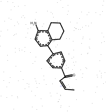 C/C=C\C(=O)c1ccc(-c2ccc(N)c3c2CCCC3)cc1